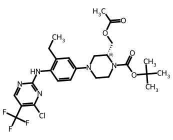 CCc1cc(N2CCN(C(=O)OC(C)(C)C)[C@@H](COC(C)=O)C2)ccc1Nc1ncc(C(F)(F)F)c(Cl)n1